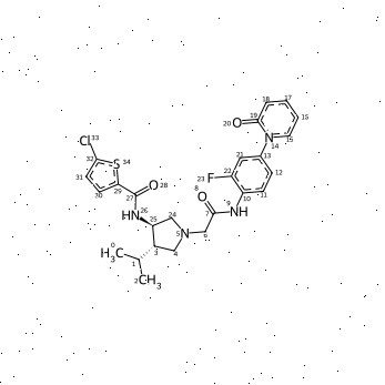 CC(C)[C@H]1CN(CC(=O)Nc2ccc(-n3ccccc3=O)cc2F)C[C@@H]1NC(=O)c1ccc(Cl)s1